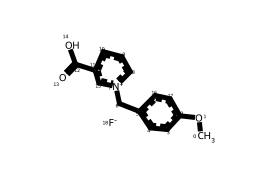 COc1ccc(C[n+]2cccc(C(=O)O)c2)cc1.[F-]